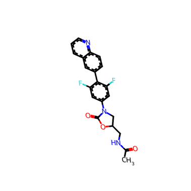 CC(=O)NCC1CN(c2cc(F)c(-c3ccc4ncccc4c3)c(F)c2)C(=O)O1